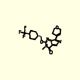 Cn1c(OC[C@H]2CC[C@H](C(F)(F)F)CC2)nn2c(C3=CCOCC3)ncc2c1=O